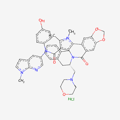 Cc1c(C(=O)N(c2ccc(O)cc2)c2cnc3c(ccn3C)c2)cc(-c2cc3c(cc2C(=O)N2Cc4ccccc4C[C@H]2CN2CCOCC2)OCO3)n1C.Cl